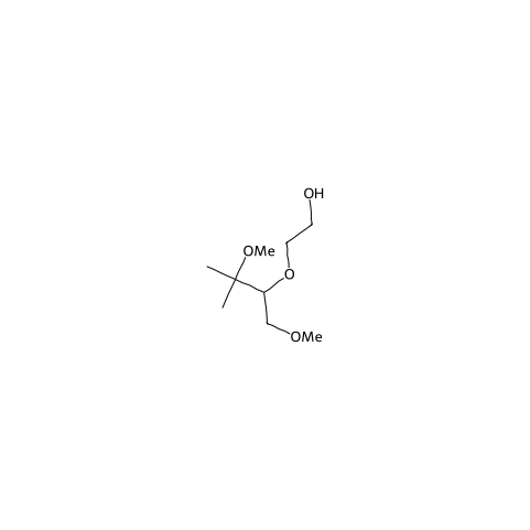 COCC(OCCO)C(C)(C)OC